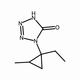 CCC1(n2nn[nH]c2=O)CC1C